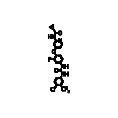 O=C(Nc1ccc(Oc2ccnc(NC(=O)C3CC3)c2)c(F)c1)Nc1ccc(Cl)c(C(F)(F)F)c1